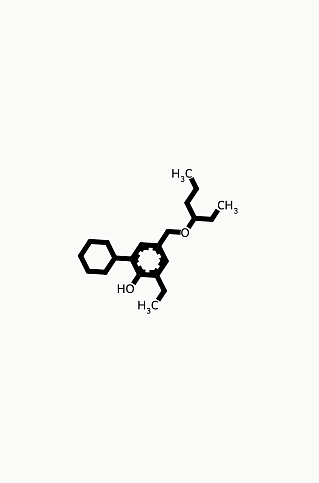 CCCC(CC)OCc1cc(CC)c(O)c(C2CCCCC2)c1